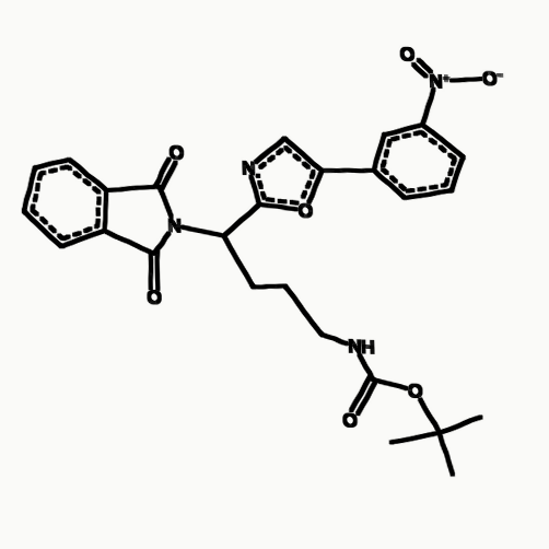 CC(C)(C)OC(=O)NCCCC(c1ncc(-c2cccc([N+](=O)[O-])c2)o1)N1C(=O)c2ccccc2C1=O